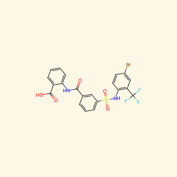 O=C(Nc1ccccc1C(=O)O)c1cccc(S(=O)(=O)Nc2ccc(Br)cc2C(F)(F)F)c1